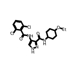 CCOC1CCC(NC(=O)c2n[nH]cc2NC(=O)c2c(Cl)cccc2Cl)CC1